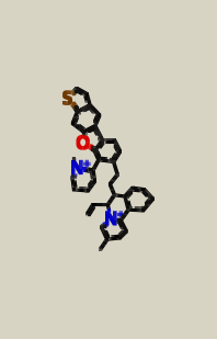 C=CC1C(CCc2ccc3c(oc4cc5sccc5cc43)c2-c2cccc[n+]2C)c2ccccc2-c2ccc(C)c[n+]21